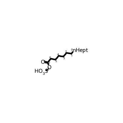 CCCCCCCCCCCCCC(=O)OS(=O)(=O)O